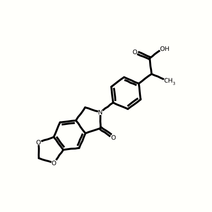 CC(C(=O)O)c1ccc(N2Cc3cc4c(cc3C2=O)OCO4)cc1